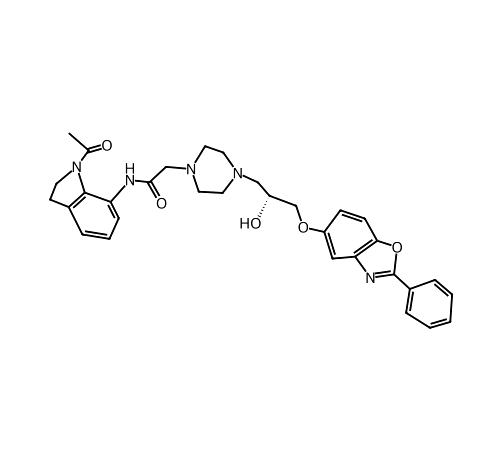 CC(=O)N1CCc2cccc(NC(=O)CN3CCN(C[C@@H](O)COc4ccc5oc(-c6ccccc6)nc5c4)CC3)c21